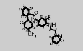 O=C(Nc1ccc(NCCc2ccccn2)c(F)c1)c1ccccc1-c1ccc(C(F)(F)F)cc1